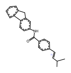 CC(C)/C=C/c1ccc(C(=O)Nc2ccc3c(c2)Cc2ccccc2-3)cc1